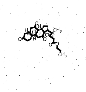 CCCOC(=O)CC[C@@H](C)[C@H]1CC[C@H]2C3C(=O)C[C@@H]4CC(=O)CC[C@]4(C)[C@H]3CC(=O)[C@]12C